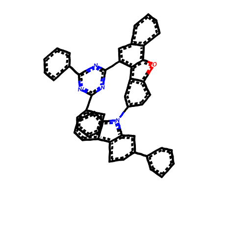 c1ccc(-c2ccc3c4ccccc4n(-c4ccc5oc6c7ccccc7cc(-c7nc(-c8ccccc8)nc(-c8ccccc8)n7)c6c5c4)c3c2)cc1